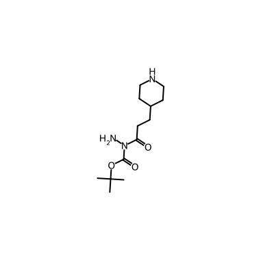 CC(C)(C)OC(=O)N(N)C(=O)CCC1CCNCC1